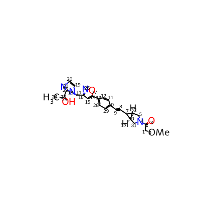 COCC(=O)N1C[C@@H]2C(C#Cc3ccc(-c4cc(Cn5ccnc5[C@H](C)O)no4)cc3)[C@@H]2C1